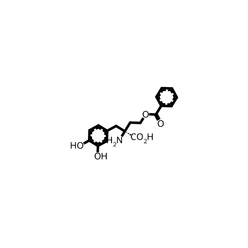 N[C@](CCOC(=O)c1ccccc1)(Cc1ccc(O)c(O)c1)C(=O)O